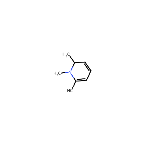 CC1C=CC=C(C#N)N1C